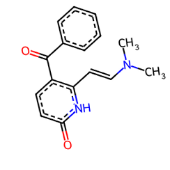 CN(C)C=Cc1[nH]c(=O)ccc1C(=O)c1ccccc1